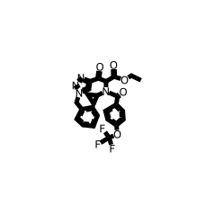 CCOC(=O)C(C(=O)c1cn(Cc2ccccc2)nn1)N(C(=O)c1ccc(OC(F)(F)F)cc1)C1CC1